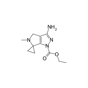 CCOC(=O)n1nc(N)c2c1C1(CC1)N(C)C2